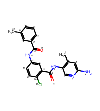 Cc1cc(N)ncc1NC(=O)c1cc(NC(=O)c2cccc(C(F)(F)F)c2)ccc1Cl